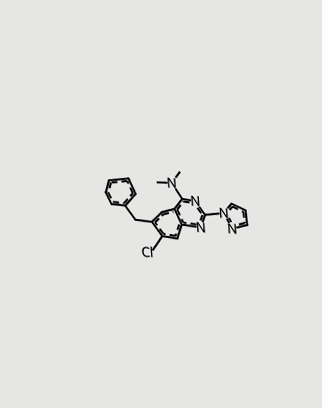 CN(C)c1nc(-n2cccn2)nc2cc(Cl)c(Cc3ccccc3)cc12